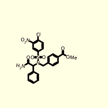 COC(=O)c1ccc(CN(C(C(N)=O)c2ccccc2)S(=O)(=O)c2ccc(Cl)c([N+](=O)[O-])c2)cc1